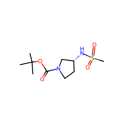 CC(C)(C)OC(=O)N1CC[C@@H](NS(C)(=O)=O)C1